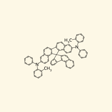 Cc1ccccc1N(c1ccccc1)c1ccc2c3c(ccc2c1)-c1ccc2cc(N(c4ccccc4)c4ccccc4C)ccc2c1C31c2ccccc2-c2c1ccc1ccccc21